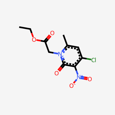 CCOC(=O)Cn1c(C)cc(Cl)c([N+](=O)[O-])c1=O